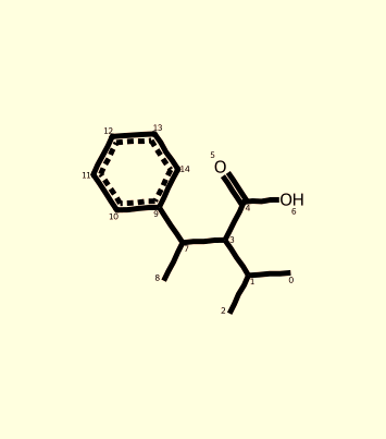 CC(C)C(C(=O)O)C(C)c1ccccc1